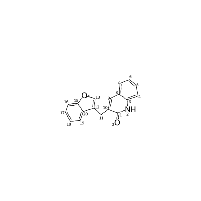 O=c1[nH]c2ccccc2cc1Cc1coc2ccccc12